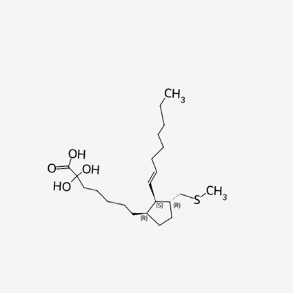 CCCCCCC=C[C@@H]1[C@H](CCCCCC(O)(O)C(=O)O)CC[C@H]1CSC